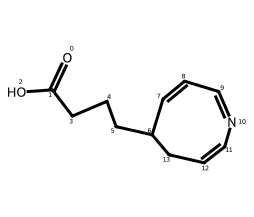 O=C(O)CCCC1C=CC=NC=CC1